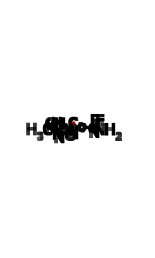 CC(c1ccc(-c2cnc(N)c(C(F)(F)F)c2)cc1)c1noc(-c2cnn(CC(=O)N(C)C)c2)n1